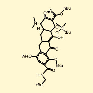 CCCCOc1noc2c1C(=O)[C@@]1(O[Si](C)(C)C(C)(C)C)C(O)=C3C(=O)c4c(c(OC)cc(C(=O)NCC(C)(C)C)c4OCCCC)CC3C[C@H]1[C@@H]2N(C)C